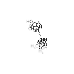 COc1cc2c(NCCCCNS(=O)(=O)N(C(=O)O)C(C)(C)C)ncnc2cc1O